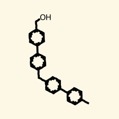 Cc1ccc(-c2ccc(Cc3ccc(-c4ccc(CO)cc4)cc3)cc2)cc1